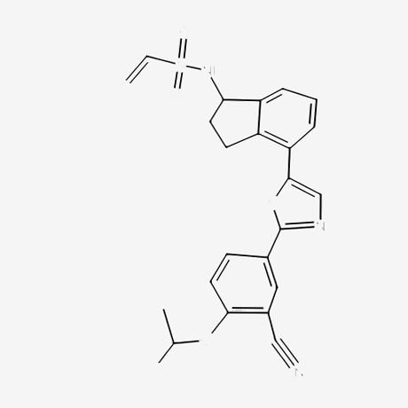 C=CS(=O)(=O)NC1CCc2c(-c3cnc(-c4ccc(OC(C)C)c(C#N)c4)s3)cccc21